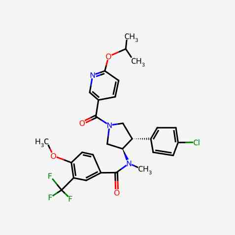 COc1ccc(C(=O)N(C)[C@H]2CN(C(=O)c3ccc(OC(C)C)nc3)C[C@@H]2c2ccc(Cl)cc2)cc1C(F)(F)F